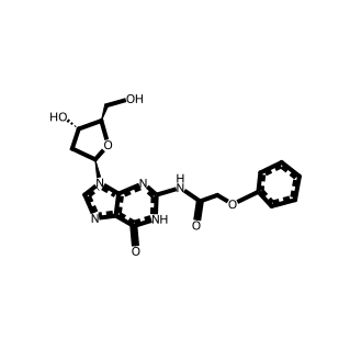 O=C(COc1ccccc1)Nc1nc2c(ncn2[C@H]2C[C@H](O)[C@@H](CO)O2)c(=O)[nH]1